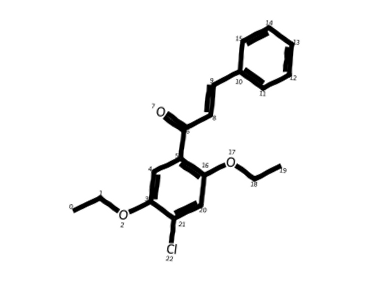 CCOc1cc(C(=O)C=Cc2ccccc2)c(OCC)cc1Cl